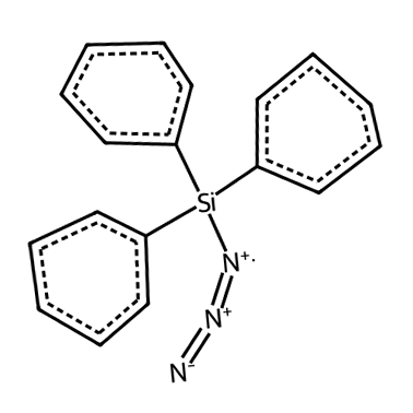 [N-]=[N+]=[N+][Si](c1ccccc1)(c1ccccc1)c1ccccc1